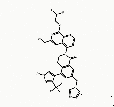 CCc1cc2c(N3CCc4c(cc(Cn5ccnc5)cc4-c4cn(C)nc4C(F)(F)F)C3=O)ccnc2c(OCC(F)F)n1